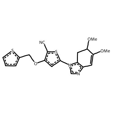 COC1=Cc2ncn(-c3cc(OCc4cccs4)c(C#N)s3)c2CC1OC